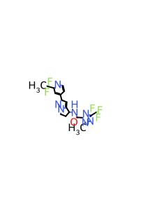 Cn1nc(C(F)(F)F)nc1C(=O)N[C@H]1CCn2nc(-c3ccnc(C(C)(F)F)c3)cc21